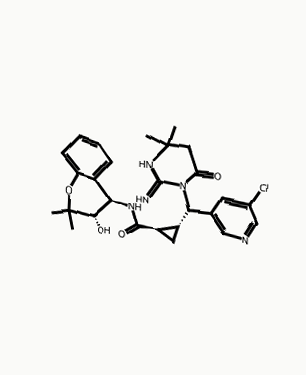 CC1(C)CC(=O)N(C(c2cncc(Cl)c2)[C@@H]2C[C@H]2C(=O)N[C@@H]2c3ccccc3OC(C)(C)[C@H]2O)C(=N)N1